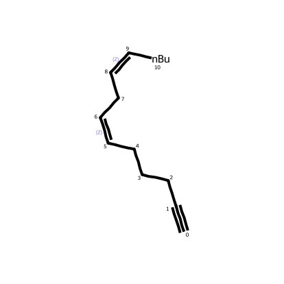 C#CCCC/C=C\C/C=C\CCCC